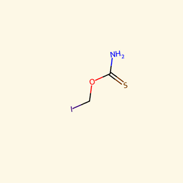 NC(=S)OCI